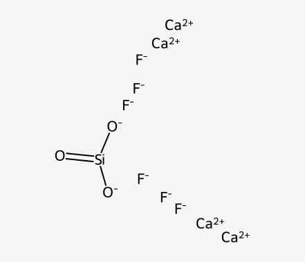 O=[Si]([O-])[O-].[Ca+2].[Ca+2].[Ca+2].[Ca+2].[F-].[F-].[F-].[F-].[F-].[F-]